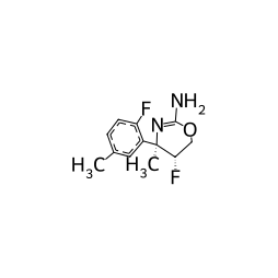 Cc1ccc(F)c([C@@]2(C)N=C(N)OC[C@@H]2F)c1